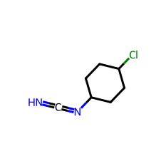 N=C=NC1CCC(Cl)CC1